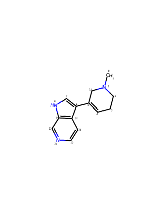 CN1CCC=C(c2c[nH]c3cnccc23)C1